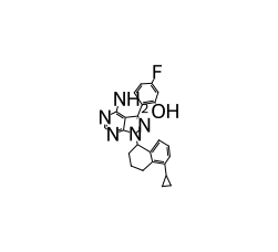 Nc1ncnc2c1c(-c1ccc(F)cc1O)nn2C1CCCc2c(C3CC3)cccc21